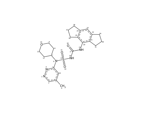 Cc1cnnc(N(C2CCOCC2)S(=O)(=O)NC(=O)Nc2c3c(cc4c2CCC4)CCC3)c1